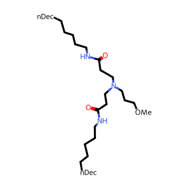 CCCCCCCCCCCCCCCNC(=O)CCN(CCCOC)CCC(=O)NCCCCCCCCCCCCCCC